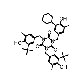 Cc1cc(Cn2c(=O)n(Cc3cc(C)c(O)c(C(C)(C)C)c3)c(=O)n(Cc3cc(C)c(O)c(C(C)(C)C)c3)c2=O)cc(C2CCCCC2)c1O